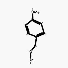 [CH2]C(C)OCc1ccc(OC)cc1